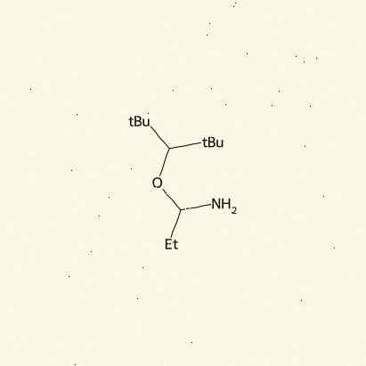 CCC(N)OC(C(C)(C)C)C(C)(C)C